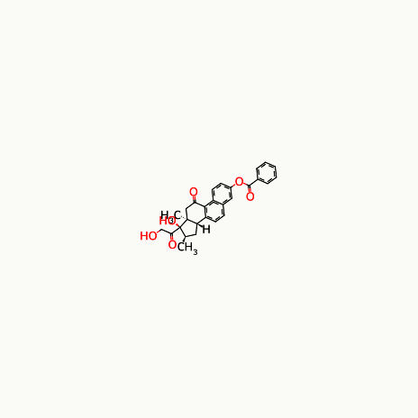 C[C@@H]1C[C@H]2c3ccc4cc(OC(=O)c5ccccc5)ccc4c3C(=O)C[C@]2(C)[C@@]1(O)C(=O)CO